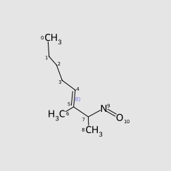 CCCC/C=C(\C)C(C)N=O